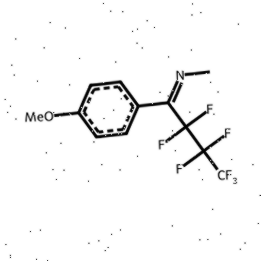 CN=C(c1ccc(OC)cc1)C(F)(F)C(F)(F)C(F)(F)F